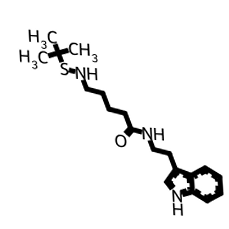 CC(C)(C)SNCCCCC(=O)NCCc1c[nH]c2ccccc12